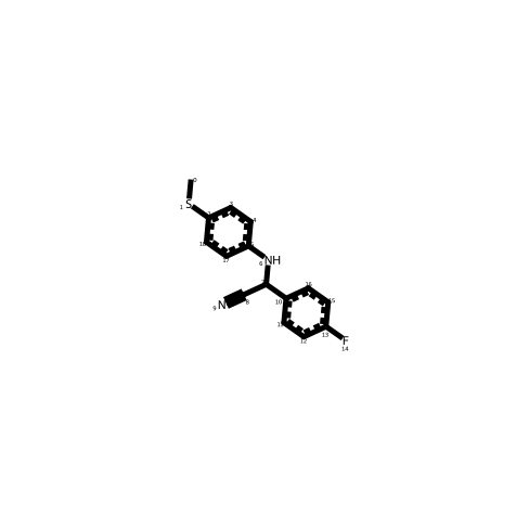 CSc1ccc(NC(C#N)c2ccc(F)cc2)cc1